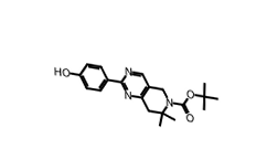 CC(C)(C)OC(=O)N1Cc2cnc(-c3ccc(O)cc3)nc2CC1(C)C